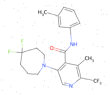 Cc1cccc(NC(=O)c2c(N3CCCC(F)(F)CC3)cnc(C(F)(F)F)c2C)c1